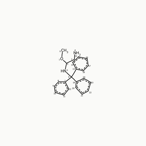 COC(CN)NC(c1ccccc1)(c1ccccc1)c1ccccc1